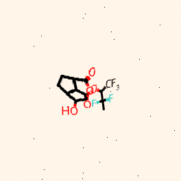 CC(F)(F)C(OC(=O)C1C2CCC1C(O)COC2=O)C(F)(F)F